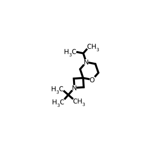 CC(C)N1CCOC2(C1)CN(C(C)(C)C)C2